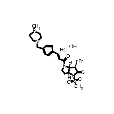 CCC[C@H]1C(=O)N(S(C)(=O)=O)[C@H]2CCN(C(=O)/C=C/c3ccc(CN4CCN(C)CC4)cc3)[C@H]12.Cl.Cl